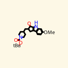 COc1ccc2c3c([nH]c2c1)C(=O)C(CC1CCN(C(=O)OC(C)(C)C)CC1)C3